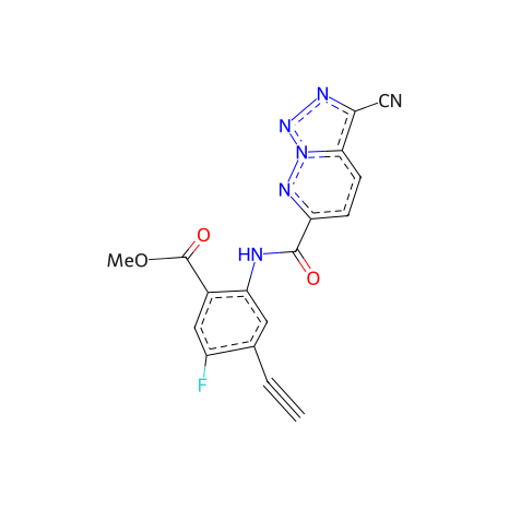 C#Cc1cc(NC(=O)c2ccc3c(C#N)nnn3n2)c(C(=O)OC)cc1F